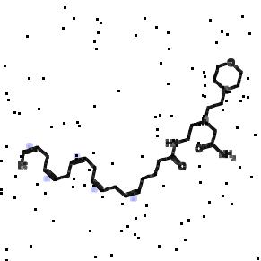 CC/C=C\C/C=C\C/C=C\C/C=C\C/C=C\CCCC(=O)NCCN(CCN1CCOCC1)CC(N)=O